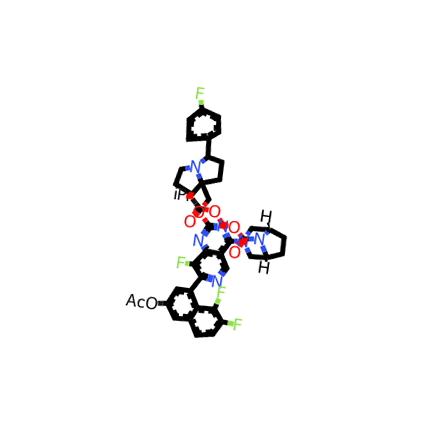 CC(=O)Oc1cc(-c2ncc3c(N4C[C@H]5CC[C@@H](C4)N5C(=O)OCOC(=O)C(C)C)nc(OCC45CCCN4C(c4ccc(F)cc4)CC5)nc3c2F)c2c(F)c(F)ccc2c1